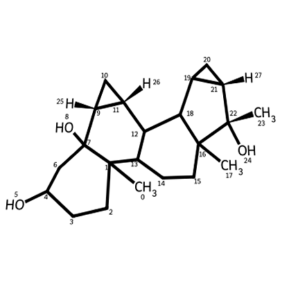 CC12CCC(O)CC1(O)[C@@H]1C[C@@H]1C1C2CCC2(C)C1C1C[C@@H]1[C@]2(C)O